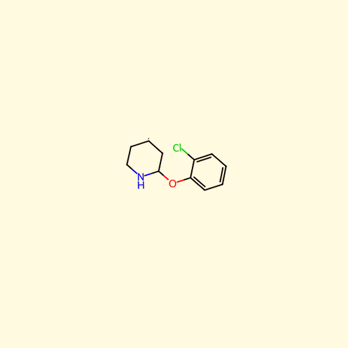 Clc1ccccc1OC1C[CH]CCN1